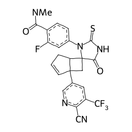 CNC(=O)c1ccc(N2C(=S)NC(=O)C23CC2(c4cnc(C#N)c(C(F)(F)F)c4)C=CCC23)cc1F